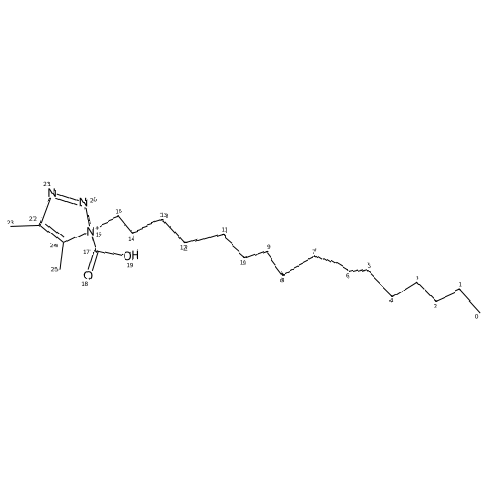 CCCCCCCCCCCCCCCC[N+]1(C(=O)O)N=NC(C)=C1C